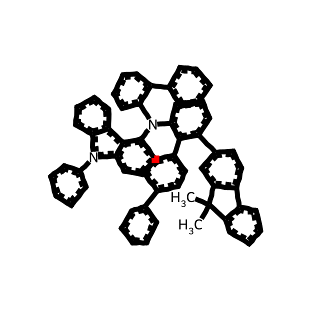 CC1(C)c2ccccc2-c2ccc(-c3cccc(N(c4ccccc4-c4ccccc4)c4cccc5c4c4ccccc4n5-c4ccccc4)c3-c3ccc(-c4ccccc4)cc3)cc21